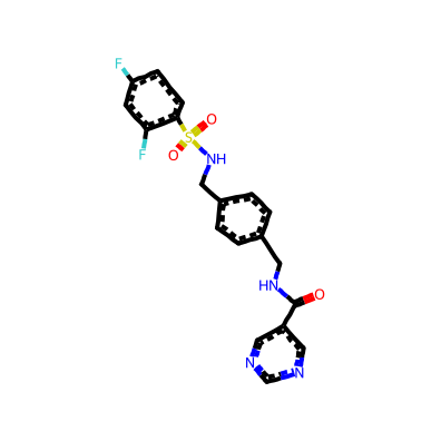 O=C(NCc1ccc(CNS(=O)(=O)c2ccc(F)cc2F)cc1)c1cncnc1